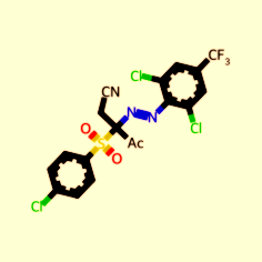 CC(=O)C(CC#N)(N=Nc1c(Cl)cc(C(F)(F)F)cc1Cl)S(=O)(=O)c1ccc(Cl)cc1